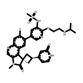 CC(C)NCCOc1ncc(-c2cc3c(cc2F)ncc2c3[C@]3(C[C@H](c4cc[nH]c(=O)c4)C3)C(=O)N2C)cc1NS(C)(=O)=O